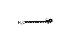 CCCCCC=CCC=CCC=CCC=CCCCC(=O)ON1CCCCC1